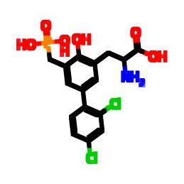 NC(Cc1cc(-c2ccc(Cl)cc2Cl)cc(CP(=O)(O)O)c1O)C(=O)O